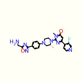 C[C@@H]1CN(c2ccc(-c3noc(CN)n3)cc2)CCN1c1nc(-c2ccncc2F)cc(=O)n1C